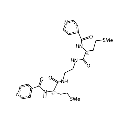 CSCC[C@H](NC(=O)c1ccncc1)C(=O)NCCNC(=O)[C@H](CCSC)NC(=O)c1ccncc1